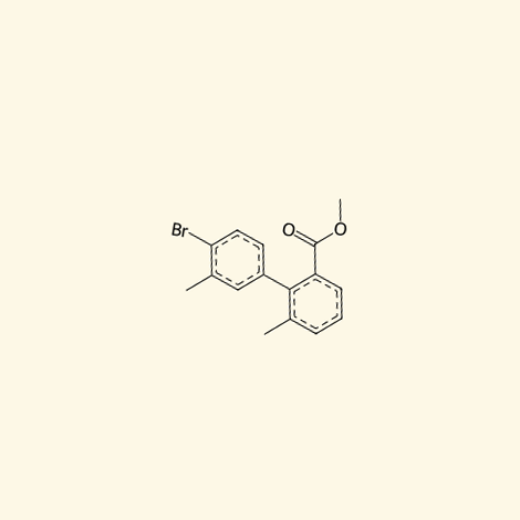 COC(=O)c1cccc(C)c1-c1ccc(Br)c(C)c1